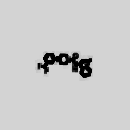 Cn1cc(NC(=O)N2CCN(c3cccc(C(F)F)c3)CC2)c2ccccc21